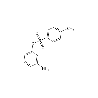 Cc1ccc(S(=O)(=O)Oc2cccc(N)c2)cc1